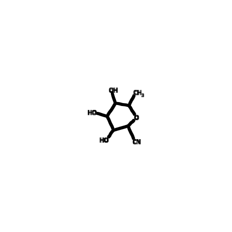 CC1OC(C#N)C(O)C(O)C1O